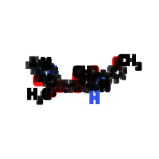 COc1cccc(C2=CN3C(=O)c4cc(OC)c(OCCCOc5cc6c(cc5OC)C(=O)N5CC7(CC7)C[C@H]5C=N6)cc4NC[C@@H]3C2)c1